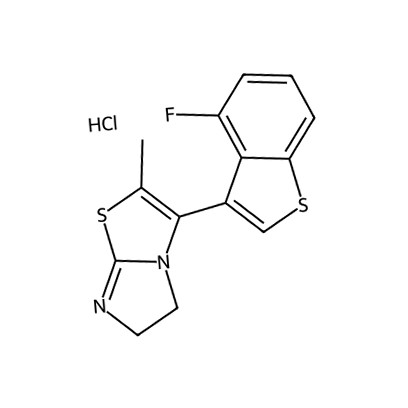 CC1=C(c2csc3cccc(F)c23)N2CCN=C2S1.Cl